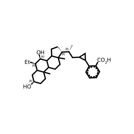 CC[C@@H]1C2C[C@H](O)CCC2(C)C2CCC3(C)C(CC[C@@H]3[C@H](C)CC3CC3c3ccccc3C(=O)O)C2[C@@H]1O